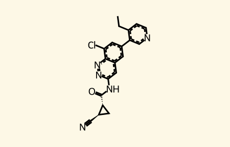 CCc1ccncc1-c1cc(Cl)c2nnc(NC(=O)[C@@H]3C[C@H]3C#N)cc2c1